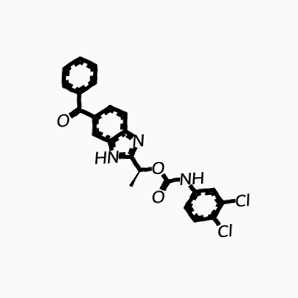 C[C@H](OC(=O)Nc1ccc(Cl)c(Cl)c1)c1nc2ccc(C(=O)c3ccccc3)cc2[nH]1